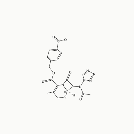 CC(=O)N(C1C(=O)N2C(C(=O)OCc3ccc([N+](=O)[O-])cc3)=C(C)CS[C@H]12)n1cnnn1